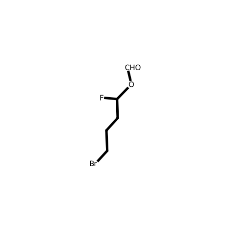 O=COC(F)CCCBr